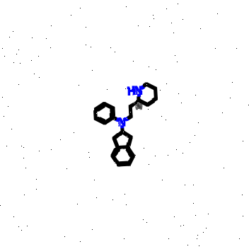 c1ccc(N(CC[C@@H]2CCCCN2)C2Cc3ccccc3C2)cc1